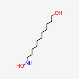 OCCCCCCCCCCCNO